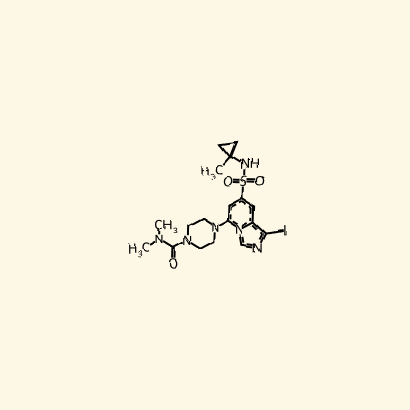 CN(C)C(=O)N1CCN(c2cc(S(=O)(=O)NC3(C)CC3)cc3c(I)ncn23)CC1